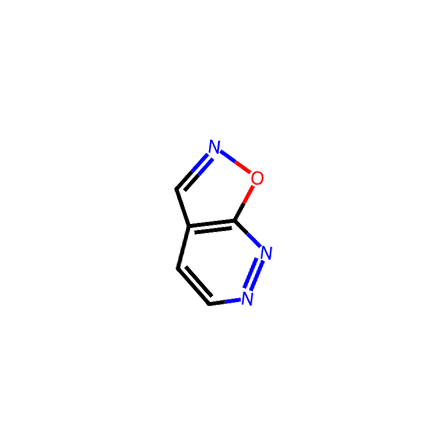 c1cc2cnoc2nn1